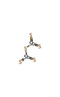 [S]=[Sb](=[S])[S][Sb](=[S])=[S]